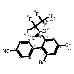 N#Cc1ccc(-c2c(Br)[c]c(Br)cc2S(=O)(=O)C(F)(F)C(F)(F)C(F)(F)F)cc1